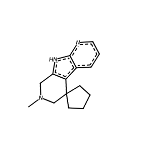 CN1Cc2[nH]c3ncccc3c2C2(CCCC2)C1